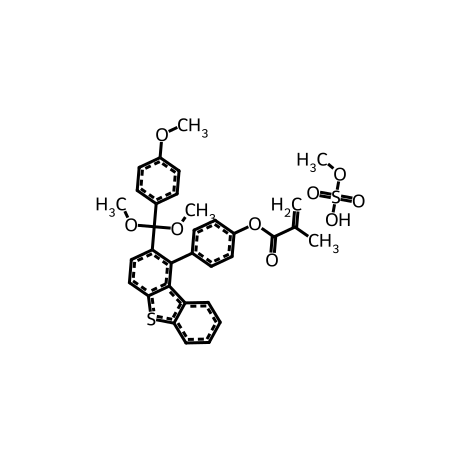 C=C(C)C(=O)Oc1ccc(-c2c(C(OC)(OC)c3ccc(OC)cc3)ccc3sc4ccccc4c23)cc1.COS(=O)(=O)O